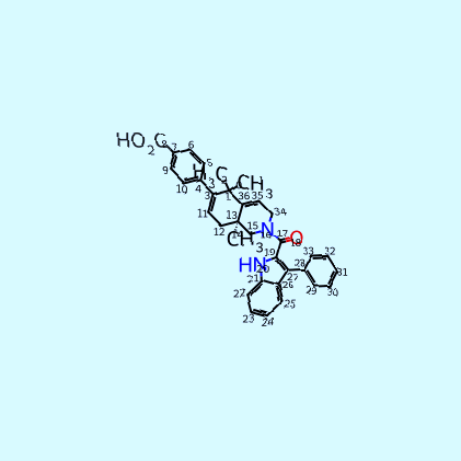 CC1(C)C(c2ccc(C(=O)O)cc2)=CC[C@]2(C)CN(C(=O)c3[nH]c4ccccc4c3-c3ccccc3)CC=C12